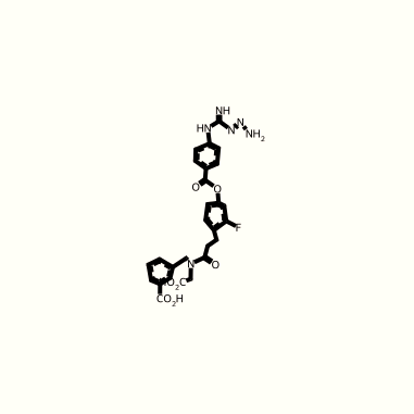 N=C(N=NN)Nc1ccc(C(=O)Oc2ccc(CCC(=O)N(CC(=O)O)Cc3cccc(C(=O)O)c3)c(F)c2)cc1